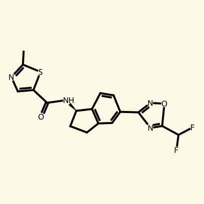 Cc1ncc(C(=O)N[C@@H]2CCc3cc(-c4noc(C(F)F)n4)ccc32)s1